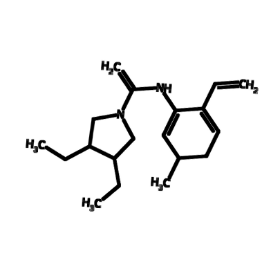 C=CC1=CCC(C)C=C1NC(=C)N1CC(CC)C(CC)C1